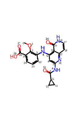 COc1c(Nc2cc(NC(=O)C3CC3)nc3cc[nH]c(=O)c23)cccc1C(=O)O